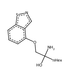 CCCCCCC(N)(O)COc1cccc2sncc12